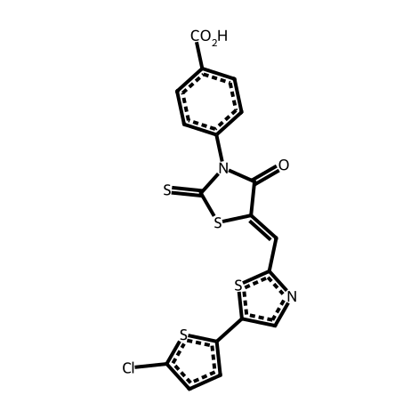 O=C(O)c1ccc(N2C(=O)C(=Cc3ncc(-c4ccc(Cl)s4)s3)SC2=S)cc1